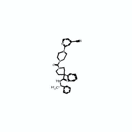 C[C@H](NC(=O)C1(c2ccccc2)CCN(C(=O)N2CCN(c3cc(C#N)ccn3)CC2)CC1)c1ccccc1